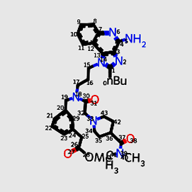 CCCCc1nc2c(N)nc3ccccc3c2n1CCCN(Cc1cccc(CC(=O)OC)c1)C(=O)CN1CCC(C(=O)N(C)C)CC1